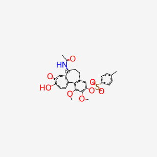 COc1c(OS(=O)(=O)c2ccc(C)cc2)cc2c(c1OC)-c1ccc(O)c(=O)cc1[C@@H](NC(C)=O)CC2